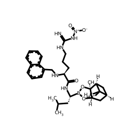 CC(C)C[C@H](NC(=O)[C@H](CCCNC(=N)N[N+](=O)[O-])NCc1cccc2ccccc12)B1O[C@@H]2C[C@@H]3C[C@@H](C3(C)C)[C@]2(C)O1